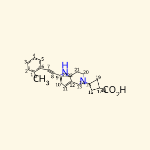 Cc1ccccc1C#CC1=CC=C2CN(C3CC(C(=O)O)C3)CCC2N1